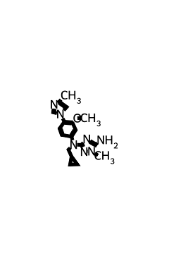 COc1cc(N(CC2CC2)c2nc(N)n(C)n2)ccc1-n1cnc(C)c1